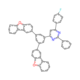 Fc1ccc(-c2cc(-c3cc(-c4ccc5oc6ccccc6c5c4)cc(-c4ccc5oc6ccccc6c5c4)c3)nc(-c3ccccc3)n2)cc1